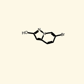 Oc1cc2ccc(Br)cn2n1